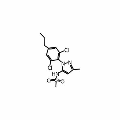 CCCc1cc(Cl)c(-n2nc(C)cc2NS(C)(=O)=O)c(Cl)c1